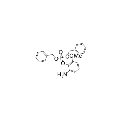 COc1cccc(N)c1OP(=O)(OCc1ccccc1)OCc1ccccc1